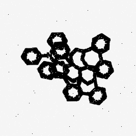 c1ccc(N(c2ccccc2)c2ccc(-c3cccc4c3C35CC6CC7(CCC8CC(CC(C3)c3ccccc3-4)(c3ccccc3-c3ccccc38)C75)c3ccccc3-c3ccccc36)cc2)cc1